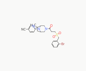 C[C@H]1CC2CN(C(=O)CCS(=O)(=O)Cc3ccccc3Br)CC1N2c1ccc(C#N)cn1